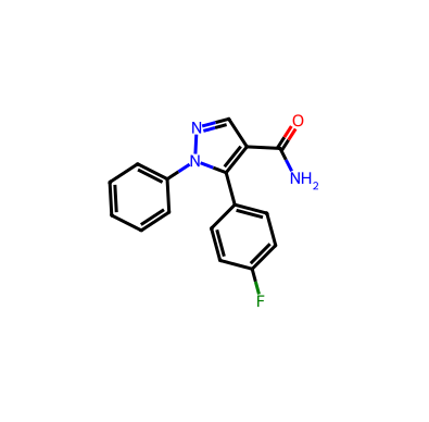 NC(=O)c1cnn(-c2ccccc2)c1-c1ccc(F)cc1